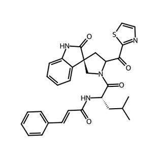 CC(C)C[C@H](NC(=O)/C=C/c1ccccc1)C(=O)N1C[C@]2(CC1C(=O)c1nccs1)C(=O)Nc1ccccc12